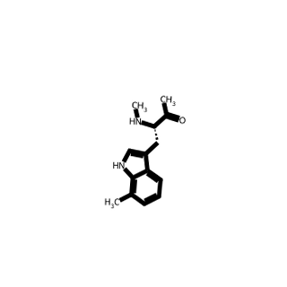 CN[C@@H](Cc1c[nH]c2c(C)cccc12)C(C)=O